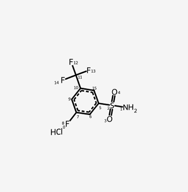 Cl.NS(=O)(=O)c1cc(F)cc(C(F)(F)F)c1